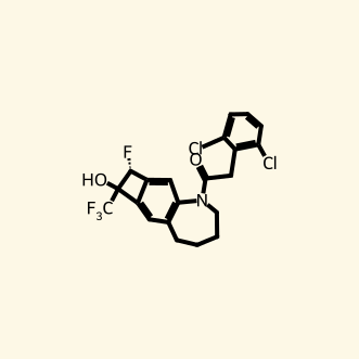 O=C(Cc1c(Cl)cccc1Cl)N1CCCCc2cc3c(cc21)[C@@H](F)C3(O)C(F)(F)F